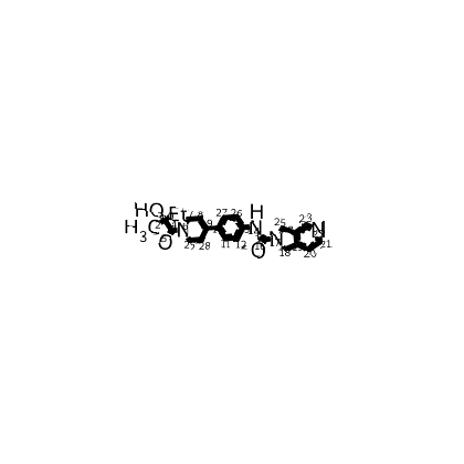 CCC(C)(O)C(=O)N1CC=C(c2ccc(NC(=O)N3Cc4ccncc4C3)cc2)CC1